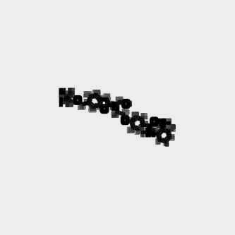 Nc1ccccc1NC(=O)c1ccc(OCCN(C=O)c2cc3ccc(COCC(F)(F)F)cc3o2)cc1